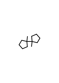 CC1(C2(C)CCCC2)CCCC1